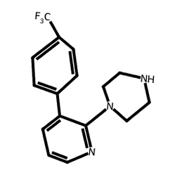 FC(F)(F)c1ccc(-c2cccnc2N2CCNCC2)cc1